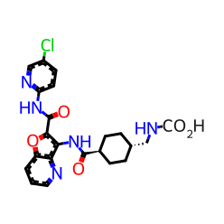 O=C(O)NC[C@H]1CC[C@H](C(=O)Nc2c(C(=O)Nc3ccc(Cl)cn3)oc3cccnc23)CC1